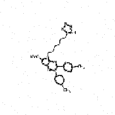 COc1cc2nc(-c3ccc(C)cc3)c(-c3ccc(C)cc3)nc2n1CCCCCCc1nnn[nH]1